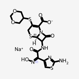 Nc1nc(/C(=N/O)C(=O)NC2C(=O)N3C(C(=O)[O-])=C(SC4COCOC4)CS[C@H]23)cs1.[Na+]